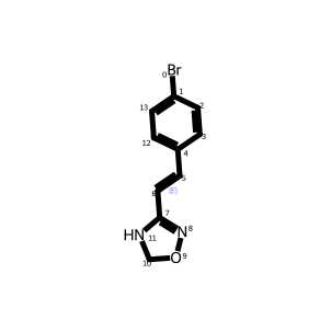 Brc1ccc(/C=C/C2=NOCN2)cc1